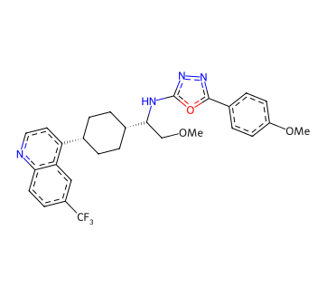 COCC(Nc1nnc(-c2ccc(OC)cc2)o1)[C@H]1CC[C@@H](c2ccnc3ccc(C(F)(F)F)cc32)CC1